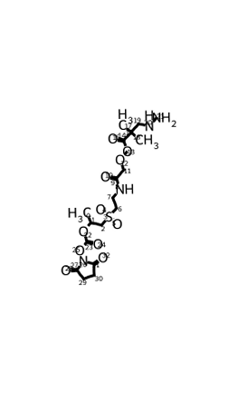 CC(CS(=O)(=O)CCNC(=O)COOC(=O)C(C)(C)CNN)OC(=O)ON1C(=O)CCC1=O